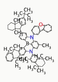 Cc1cc2c3c(c1)N(c1cc4c(cc1C)C(C)(C)CCC4(C)C)c1cc4c(cc1B3c1ccc(C3c5ccc(C(C)(C)C)cc5C5(C)CCCCC35C)cc1N2c1ccc2oc3ccccc3c2c1)C(C)(C)c1ccccc1C4(C)C